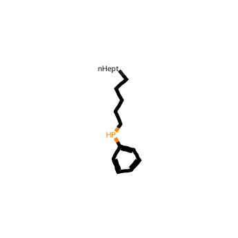 CCCCCCCCCCCCPc1ccccc1